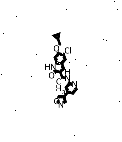 C[C@H](Nc1cc(-c2cnoc2)ccn1)c1cc2cc(Cl)c(OCC3CC3)cc2[nH]c1=O